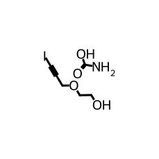 NC(=O)O.OCCOCC#CI